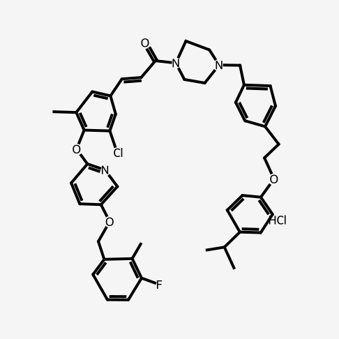 Cc1cc(C=CC(=O)N2CCN(Cc3ccc(CCOc4ccc(C(C)C)cc4)cc3)CC2)cc(Cl)c1Oc1ccc(OCc2cccc(F)c2C)cn1.Cl